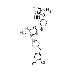 CC(C)[C@H](CN1CCC(Cc2ccc(Cl)c(Cl)c2)CC1)NC(=O)Nc1cccc(NS(=O)(=O)N(C)C)c1